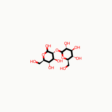 OC[C@H]1OC(O[C@H]2C(O)O[C@H](CO)[C@@H](O)[C@@H]2O)[C@H](O)[C@@H](O)[C@@H]1O